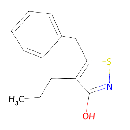 CCCc1c(O)nsc1Cc1ccccc1